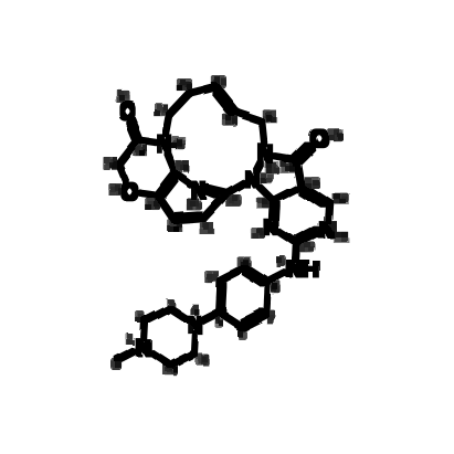 CN1CCN(c2ccc(Nc3ncc4c(=O)n5n(c4n3)-c3ccc4c(n3)N(CC/C=C/C5)C(=O)CO4)cc2)CC1